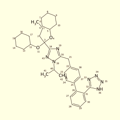 CCCC(OC1CCCCC1)(OC1CCCCC1)c1nc(Cc2ccc(-c3ccccc3-c3nnn[nH]3)cc2)n(C(C)C)n1